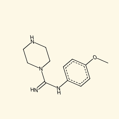 COc1ccc(NC(=N)N2CCNCC2)cc1